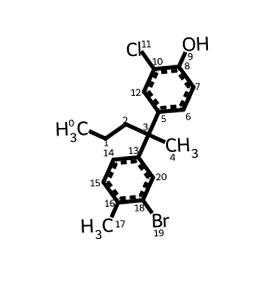 CCCC(C)(c1ccc(O)c(Cl)c1)c1ccc(C)c(Br)c1